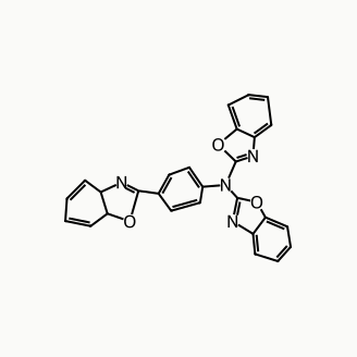 C1=CC2N=C(c3ccc(N(c4nc5ccccc5o4)c4nc5ccccc5o4)cc3)OC2C=C1